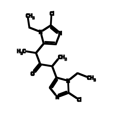 CCn1c(C(C)C(=O)C(C)c2cnc(Cl)n2CC)cnc1Cl